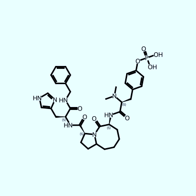 CN(C)[C@@H](Cc1ccc(OP(=O)(O)O)cc1)C(=O)N[C@H]1CCCCC2CC[C@@H](C(=O)N[C@@H](Cc3c[nH]cn3)C(=O)NCc3ccccc3)N2C1=O